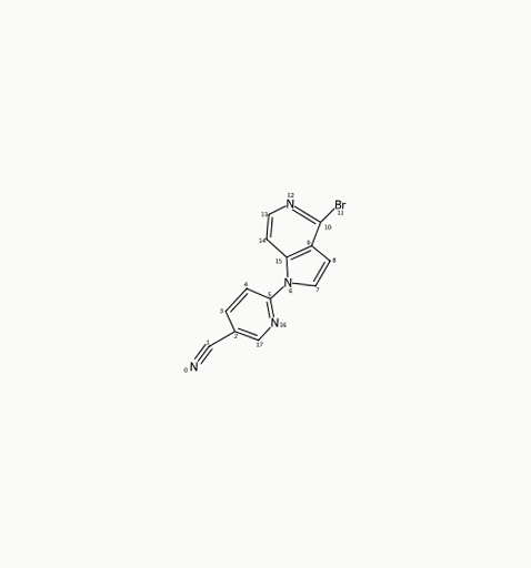 N#Cc1ccc(-n2ccc3c(Br)nccc32)nc1